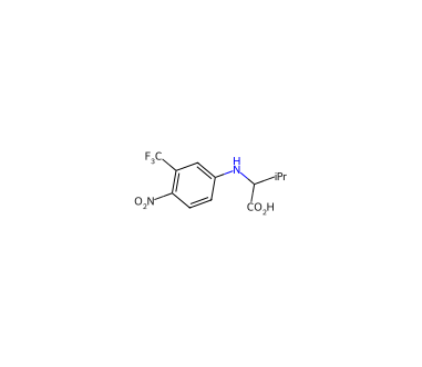 CC(C)C(Nc1ccc([N+](=O)[O-])c(C(F)(F)F)c1)C(=O)O